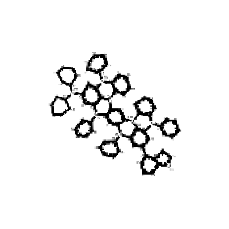 c1ccc(N2c3ccccc3B3c4cc5c(cc4N(c4ccccc4)c4cc(-c6cccc7occc67)cc2c43)N(c2ccccc2)c2cc(N(C3CCCCC3)C3CCCCC3)cc3c2B5c2ccccc2N3c2ccccc2)cc1